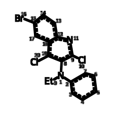 CCN(c1ccccc1)c1c(Cl)nc2ccc(Br)cc2c1Cl